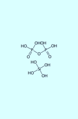 O=P(O)(O)OP(=O)(O)O.O[Si](O)(O)O